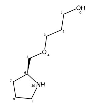 OCCCOC[C@@H]1CCCN1